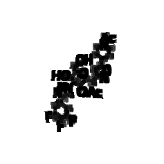 CC(=O)O[C@@H]1[C@@H](n2cc(-c3cc(F)c(F)c(F)c3)nn2)[C@@H](O)[C@@H](CO)O[C@@H]1Cc1cc(C2CCN(C(C)=O)CC2)on1